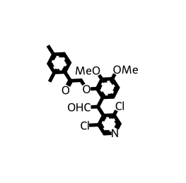 COc1ccc(C(C=O)c2c(Cl)cncc2Cl)c(OCC(=O)c2ccc(C)cc2C)c1OC